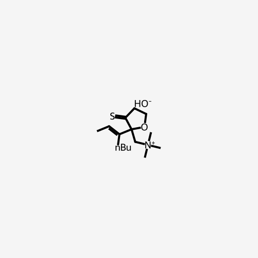 CC=C(CCCC)C1(C[N+](C)(C)C)OCCC1=S.[OH-]